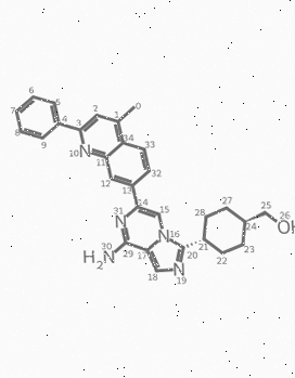 Cc1cc(-c2ccccc2)nc2cc(-c3cn4c(cnc4[C@H]4CC[C@H](CO)CC4)c(N)n3)ccc12